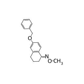 CON=C1CCCc2cc(OCc3ccccc3)ccc21